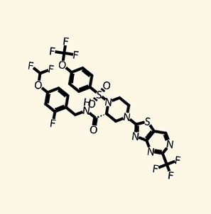 O=C(NCc1ccc(OC(F)F)cc1F)[C@H]1CN(c2nc3nc(C(F)(F)F)ncc3s2)CCN1S(=O)(=O)c1ccc(OC(F)(F)F)cc1